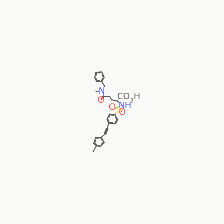 Cc1ccc(C#Cc2ccc(S(=O)(=O)N[C@H](CCC(=O)N(C)Cc3ccccc3)C(=O)O)cc2)cc1